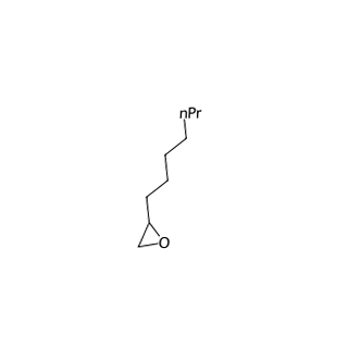 CCCCCCCC1CO1